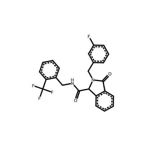 O=C(NCc1ccccc1C(F)(F)F)C1c2ccccc2C(=O)N1Cc1cccc(F)c1